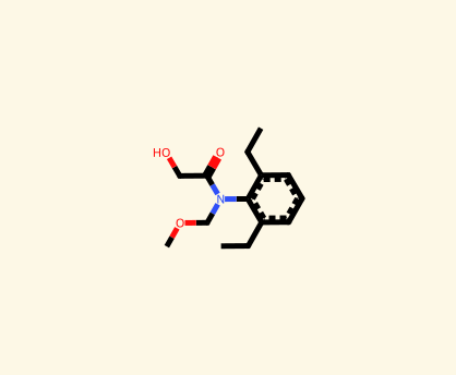 CCc1cccc(CC)c1N(COC)C(=O)CO